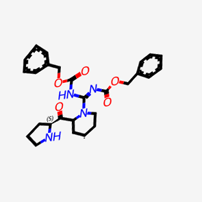 O=C(N=C(NC(=O)OCc1ccccc1)N1CC[CH]CC1C(=O)[C@@H]1CCCN1)OCc1ccccc1